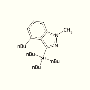 CCCCc1cccc2c1[c]([Sn]([CH2]CCC)([CH2]CCC)[CH2]CCC)nn2C